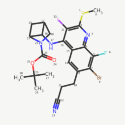 CSc1nc2c(F)c(Br)c(CCC#N)cc2c(NC2C3CC2N(C(=O)OC(C)(C)C)C3)c1I